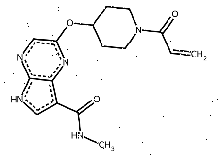 C=CC(=O)N1CCC(Oc2cnc3[nH]cc(C(=O)NC)c3n2)CC1